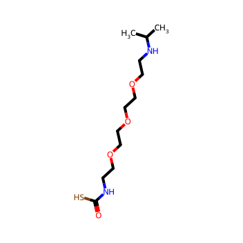 CC(C)NCCOCCOCCOCCNC(=O)S